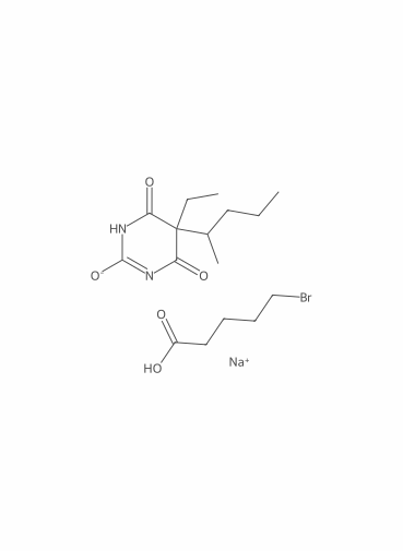 CCCC(C)C1(CC)C(=O)N=C([O-])NC1=O.O=C(O)CCCCBr.[Na+]